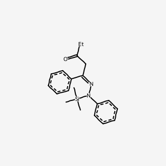 CCC(=O)CC(=NN(c1ccccc1)[Si](C)(C)C)c1ccccc1